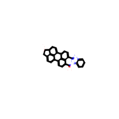 O=C1Cc2ccc3c4ccc5c(=O)n6c7ccccc7nc6c6ccc(c7ccc1c2c37)c4c56